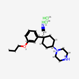 CCCOc1cccc([C@]2(C#N)CC[C@H](N3CCNCC3)CC2)c1.Cl.Cl